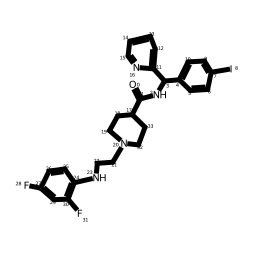 O=C(NC(c1ccc(I)cc1)c1ccccn1)C1CCN(CCNc2ccc(F)cc2F)CC1